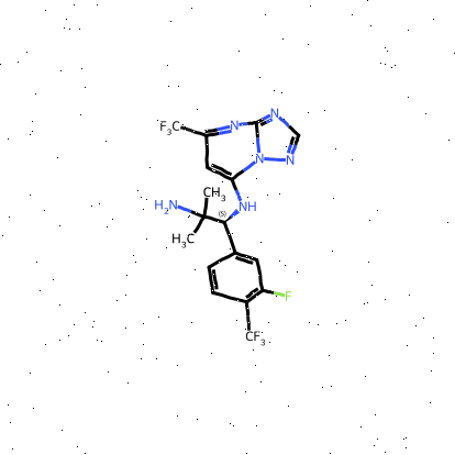 CC(C)(N)[C@@H](Nc1cc(C(F)(F)F)nc2ncnn12)c1ccc(C(F)(F)F)c(F)c1